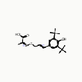 C/C(=N/OC/C=C/c1cc(C(C)(C)C)c(O)c(C(C)(C)C)c1)C(=O)O